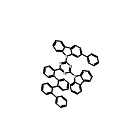 c1ccc(-c2ccc3c4ccccc4n(-c4nc(-c5ccccc5-c5ccccc5-c5ccccc5-c5ccccc5)nc(-n5c6ccccc6c6ccccc65)n4)c3c2)cc1